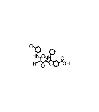 N#CC(C(=O)Nc1cccc(Cl)c1)C(=O)c1nn(-c2ccccc2)c2c1Cc1ccc(C(=O)O)cc1-2